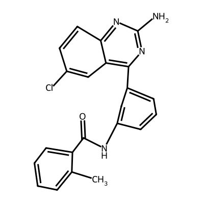 Cc1ccccc1C(=O)Nc1cccc(-c2nc(N)nc3ccc(Cl)cc23)c1